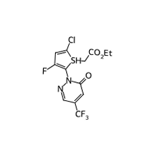 CCOC(=O)C[SH]1C(Cl)=CC(F)=C1n1ncc(C(F)(F)F)cc1=O